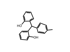 Cc1ccc(C(c2ccccc2O)c2ccccc2O)cc1